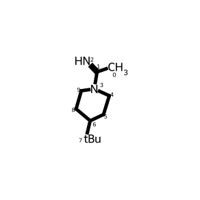 CC(=N)N1CCC(C(C)(C)C)CC1